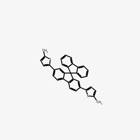 Cc1ccc(-c2ccc3c(c2)C2(c4ccccc4-c4ccccc42)c2cc(-c4ccc(C)s4)ccc2-3)s1